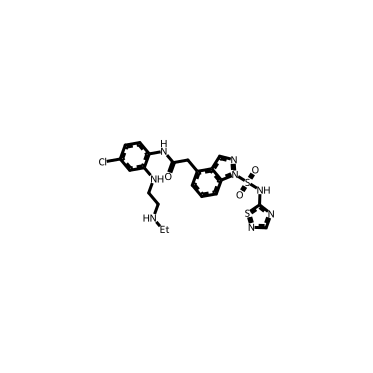 CCNCCNc1cc(Cl)ccc1NC(=O)Cc1cccc2c1cnn2S(=O)(=O)Nc1ncns1